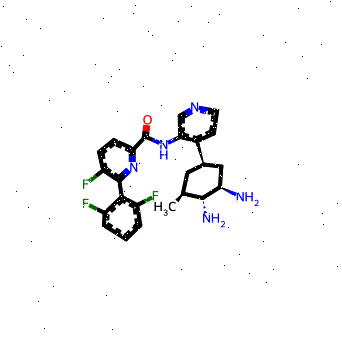 C[C@H]1C[C@@H](c2ccncc2NC(=O)c2ccc(F)c(-c3c(F)cccc3F)n2)C[C@@H](N)[C@@H]1N